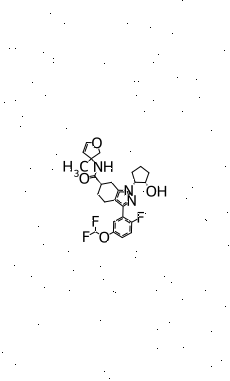 CC1(NC(=O)[C@@H]2CCc3c(-c4cc(OC(F)F)ccc4F)nn([C@@H]4CCC[C@@H]4O)c3C2)C=COC1